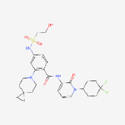 O=C(Nc1cccn(C2CCC(F)(F)CC2)c1=O)c1ccc(NS(=O)(=O)CCO)cc1N1CCC2(CC1)CC2